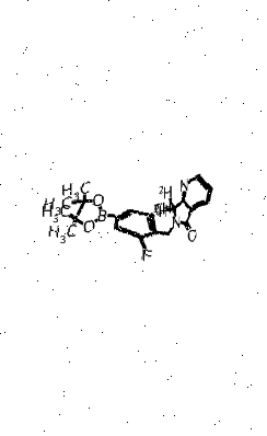 [2H]C1([2H])c2ncccc2C(=O)N1Cc1c(C)cc(B2OC(C)(C)C(C)(C)O2)cc1F